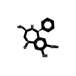 CCCC[C@@H]1C[S+]([O-])c2cc(O)c(OC)cc2[C@@H](c2ccccc2)N1